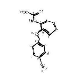 CC(=O)Nc1ccccc1Oc1ccc(N)cc1